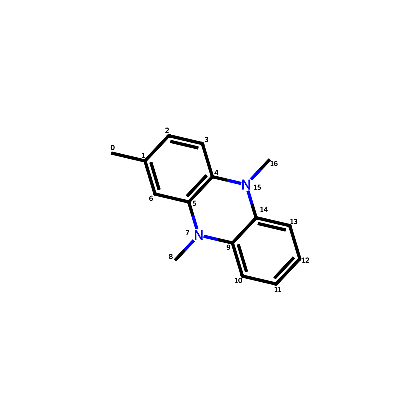 Cc1ccc2c(c1)N(C)c1ccccc1N2C